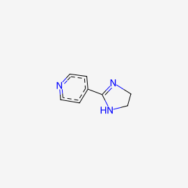 c1cc(C2=NCCN2)ccn1